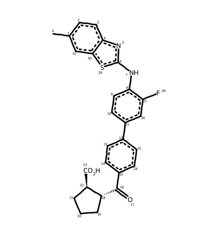 Cc1ccc2nc(Nc3ccc(-c4ccc(C(=O)[C@@H]5CCC[C@H]5C(=O)O)cc4)cc3F)sc2c1